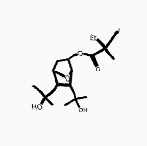 CCC(C)(I)C(=O)OC1CC2OC1C(C(C)(C)O)C2C(C)(C)O